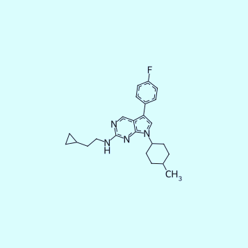 CC1CCC(n2cc(-c3ccc(F)cc3)c3cnc(NCCC4CC4)nc32)CC1